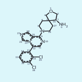 N[C@@H]1COCC12CCN(c1ncc(-c3cccc(Cl)c3Cl)n3cncc13)CC2